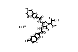 CCC(C(=O)O)N1C[C@@H](NC(=O)c2nc3c(s2)CN(C)CC3)[C@H](NC(=O)c2cc3cc(Cl)ccc3[nH]2)C1=O.Cl